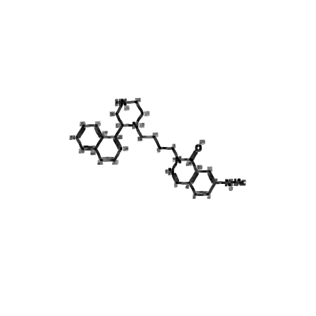 CC(=O)Nc1ccc2cnn(CCCCN3CCNCC3c3cccc4ccccc34)c(=O)c2c1